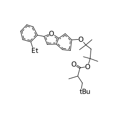 CCc1ccccc1-c1cc2ccc(OC(C)(C)CC(C)(C)OC(=O)C(C)CC(C)(C)C)cc2o1